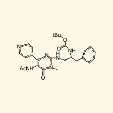 CC(=O)Nc1c(-c2ccncc2)nc(NC[C@H](Cc2ccccc2)NC(=O)OC(C)(C)C)n(C)c1=O